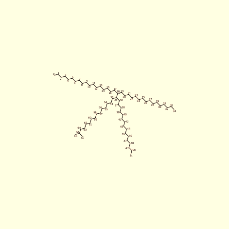 CCCCCCCCCCCCCCCCCC[C](CCCCCCCCCCCCCCCC)C(CCCCCCCCCCCCCCCC)CCCCCCCCCCCCCC(C)C